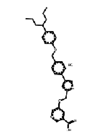 CCCC(CCC)c1ccc(OCc2ccc(-c3csc(COc4cncc(C(=O)O)c4)c3)cc2)cc1.Cl